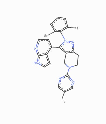 CCc1cccc(CC)c1-n1nc2c(c1-c1ccnc3[nH]ccc13)CN(c1ncc(C(F)(F)F)cn1)CC2